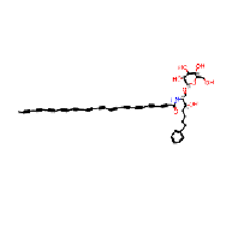 CC#CC#CC#CC#CC#CC#CC#CC#CC#CC#CC#CC#CC(=O)N[C@@H](CO[C@H]1OC(CO)[C@H](O)C(O)[C@@H]1O)[C@H](O)CCCCc1ccccc1